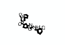 COCCCN(Cc1ccccn1)C(=O)c1ccc2oc(NCc3cccc(Cl)c3)nc2c1